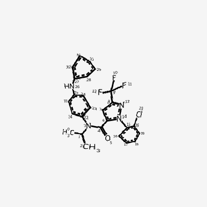 CC(C)N(C(=O)c1cc(C(F)(F)F)nn1-c1ccccc1Cl)c1ccc(Nc2ccccc2)cc1